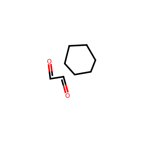 C1CCCCC1.O=CC=O